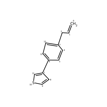 C=CCc1ccc(-c2ccsc2)cc1